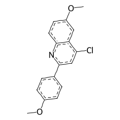 COc1ccc(-c2cc(Cl)c3cc(OC)ccc3n2)cc1